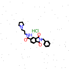 Cl.O=C(NCCCN1CCCC1)c1ccc2c(c1)C(=O)N(Cc1ccccc1)C2=O